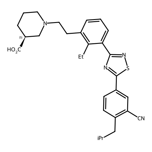 CCc1c(CCN2CCC[C@H](C(=O)O)C2)cccc1-c1nsc(-c2ccc(CC(C)C)c(C#N)c2)n1